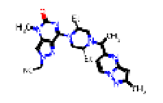 CC[C@H]1CN(C(C)c2ccn3nc(C)cc3n2)[C@H](CC)CN1c1nc(=O)n(C)c2cn(CC#N)nc12